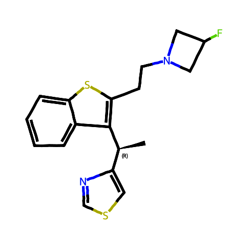 C[C@@H](c1cscn1)c1c(CCN2CC(F)C2)sc2ccccc12